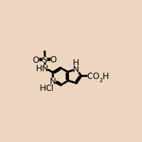 CS(=O)(=O)Nc1cc2[nH]c(C(=O)O)cc2cn1.Cl